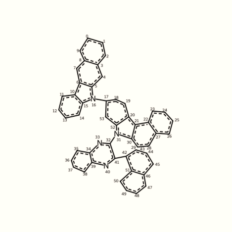 c1ccc2cc3c(cc2c1)c1ccccc1n3-c1ccc2c3c4ccccc4ccc3n(-c3nc4ccccc4nc3-c3cccc4ccccc34)c2c1